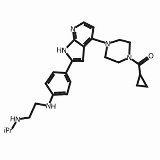 CC(C)NCCNc1ccc(-c2cc3c(N4CCN(C(=O)C5CC5)CC4)ccnc3[nH]2)cc1